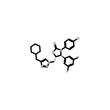 O=C1O[C@@H](Cn2cc(CC3CCCCC3)nn2)[C@H](c2cc(F)cc(F)c2)N1c1ccc(Cl)cc1